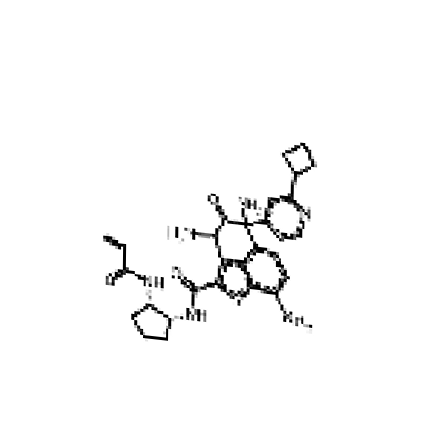 C=CC(=O)N[C@H]1CCC[C@H]1NC(=O)c1sc2c(N)ccc3c2c1C(N)C(=O)C3(N)c1ccnc(C2CCC2)c1